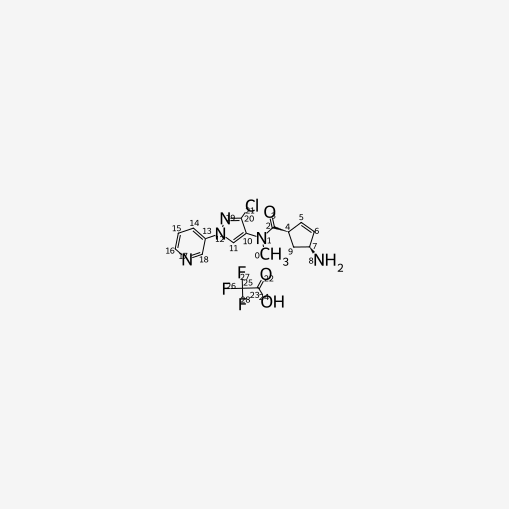 CN(C(=O)[C@H]1C=C[C@@H](N)C1)c1cn(-c2cccnc2)nc1Cl.O=C(O)C(F)(F)F